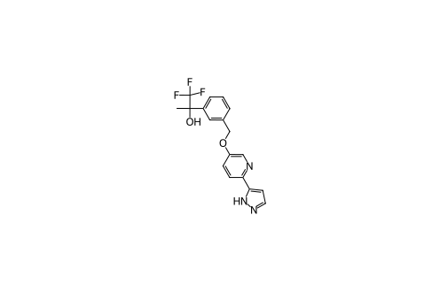 CC(O)(c1cccc(COc2ccc(-c3ccn[nH]3)nc2)c1)C(F)(F)F